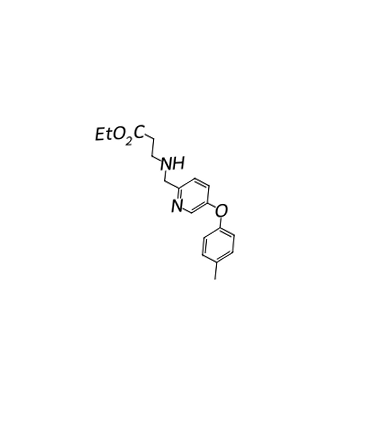 CCOC(=O)CCNCc1ccc(Oc2ccc(C)cc2)cn1